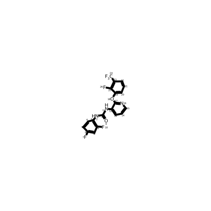 O=C(Nc1ccc(F)cc1F)Nc1cccnc1Oc1cccc(C(F)(F)F)c1F